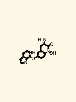 NC1Cc2cc(Oc3[nH]ccc4ccnc3-4)ccc2N(O)C1=O